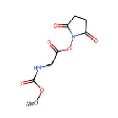 COOC(=O)NCC(=O)ON1C(=O)CCC1=O